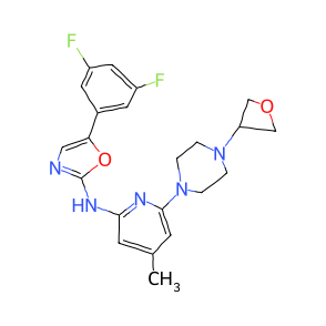 Cc1cc(Nc2ncc(-c3cc(F)cc(F)c3)o2)nc(N2CCN(C3COC3)CC2)c1